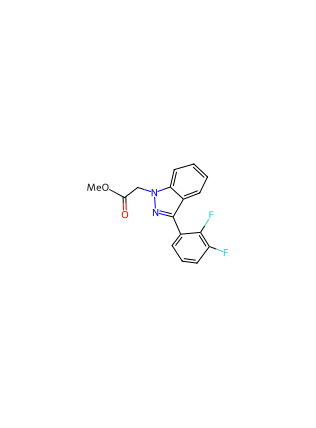 COC(=O)Cn1nc(-c2cccc(F)c2F)c2ccccc21